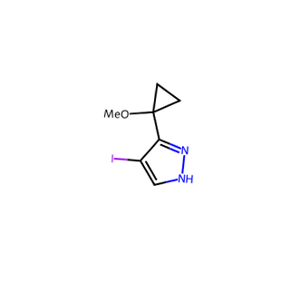 COC1(c2n[nH]cc2I)CC1